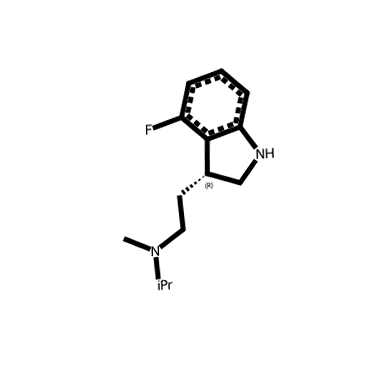 CC(C)N(C)CC[C@H]1CNc2cccc(F)c21